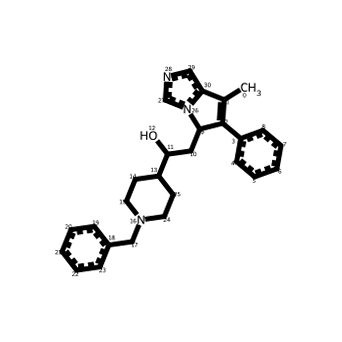 CC1=C(c2ccccc2)C(CC(O)C2CCN(Cc3ccccc3)CC2)n2cncc21